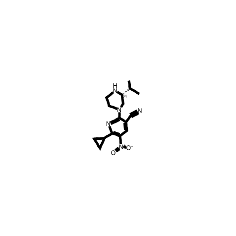 CC(C)[C@@H]1CN(c2nc(C3CC3)c([N+](=O)[O-])cc2C#N)CCN1